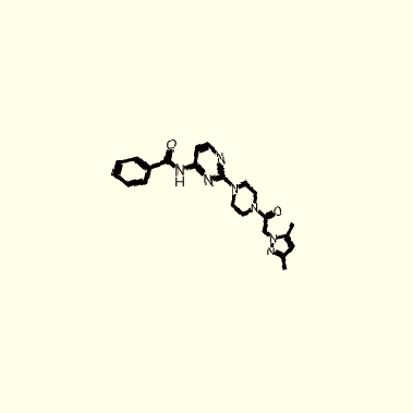 Cc1cc(C)n(CC(=O)N2CCN(c3nccc(NC(=O)c4ccccc4)n3)CC2)n1